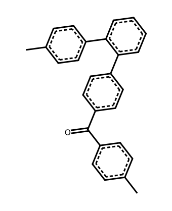 Cc1ccc(C(=O)c2ccc(-c3ccccc3-c3ccc(C)cc3)cc2)cc1